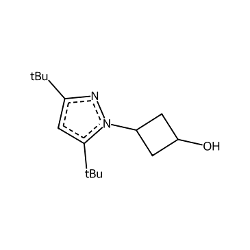 CC(C)(C)c1cc(C(C)(C)C)n(C2CC(O)C2)n1